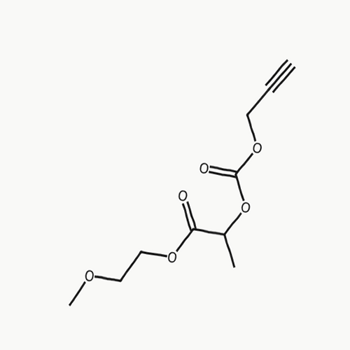 C#CCOC(=O)OC(C)C(=O)OCCOC